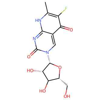 Cc1[nH]c2nc(=O)n([C@@H]3O[C@H](CO)C(O)[C@@H]3O)cc2c(=O)c1F